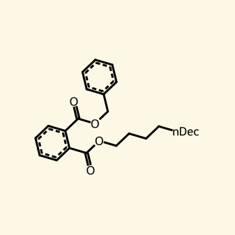 CCCCCCCCCCCCCCOC(=O)c1ccccc1C(=O)OCc1ccccc1